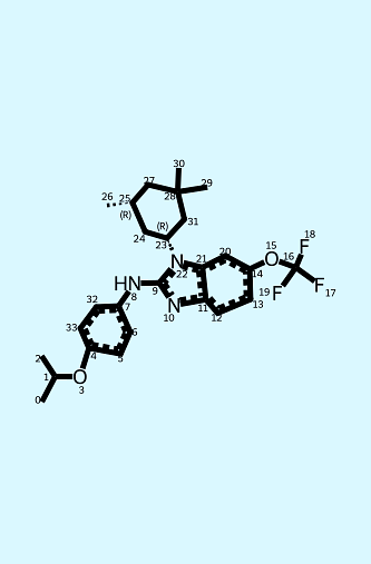 CC(C)Oc1ccc(Nc2nc3ccc(OC(F)(F)F)cc3n2[C@@H]2C[C@H](C)CC(C)(C)C2)cc1